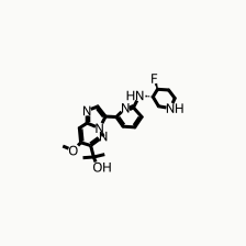 COc1cc2ncc(-c3cccc(N[C@H]4CNCC[C@@H]4F)n3)n2nc1C(C)(C)O